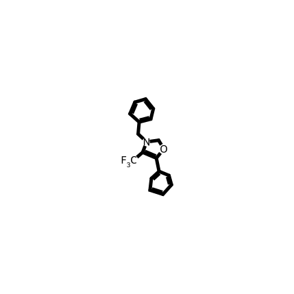 FC(F)(F)C1=C(c2ccccc2)OCN1Cc1ccccc1